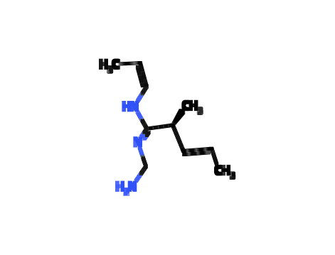 CC=C[C@H](C)/C(=N\CN)N/C=C\C